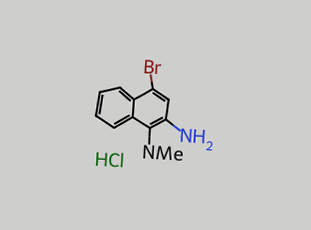 CNc1c(N)cc(Br)c2ccccc12.Cl